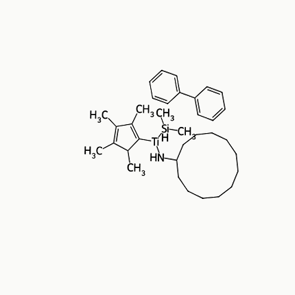 CC1=C(C)C(C)[C]([Ti]([NH]C2CCCCCCCCCCC2)[SiH](C)C)=C1C.c1ccc(-c2ccccc2)cc1